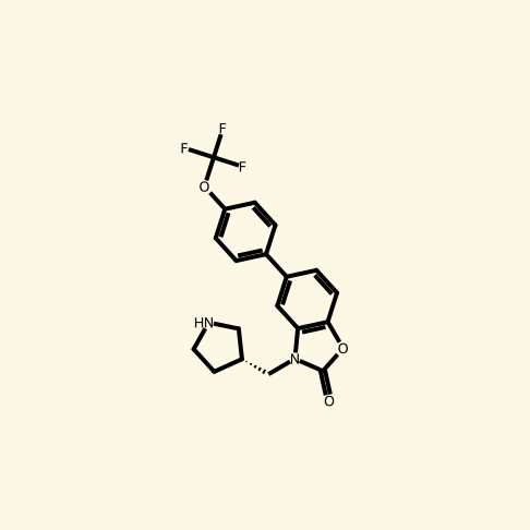 O=c1oc2ccc(-c3ccc(OC(F)(F)F)cc3)cc2n1C[C@@H]1CCNC1